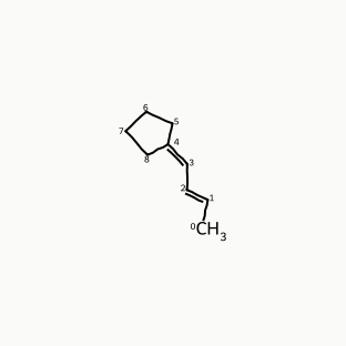 CC=CC=C1CCCC1